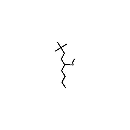 CCCCC(CCC(C)(C)C)NC